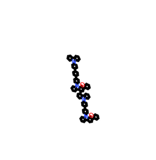 c1ccc2c(c1)oc1c2ccc2c3ccccc3n(-c3ccc(-c4ccc(-n5c6ccccc6c6c(-c7cc8c9ccccc9oc8c8c7c7ccccc7n8-c7ccc(-c8ccc(-c9ccc(-n%10c%11ccccc%11c%11ccccc%11%10)cc9)cc8)cc7)cccc65)cc4)cc3)c21